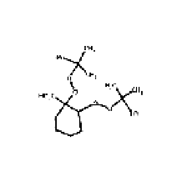 CCCC(C)(C)OOC1CCCCC1(OOC(C)(C)CCC)C(=O)O